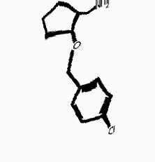 NC1CCCC1OCc1ccc(Cl)cc1